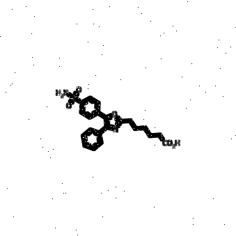 NS(=O)(=O)c1ccc(-c2oc(CCCCCC(=O)O)nc2-c2ccccc2)cc1